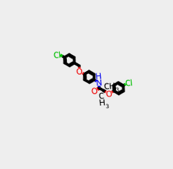 CC(C)(Oc1ccc(Cl)cc1)C(=O)Nc1ccc(OCc2ccc(Cl)cc2)cc1